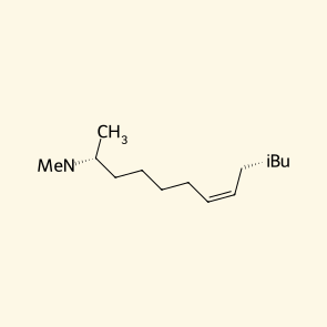 CC[C@@H](C)C/C=C\CCCC[C@@H](C)NC